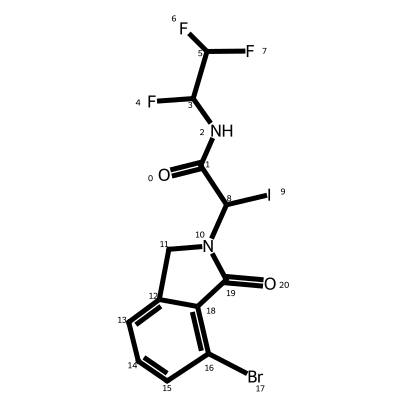 O=C(NC(F)C(F)F)C(I)N1Cc2cccc(Br)c2C1=O